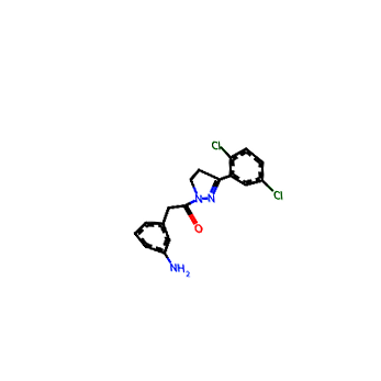 Nc1cccc(CC(=O)N2CCC(c3cc(Cl)ccc3Cl)=N2)c1